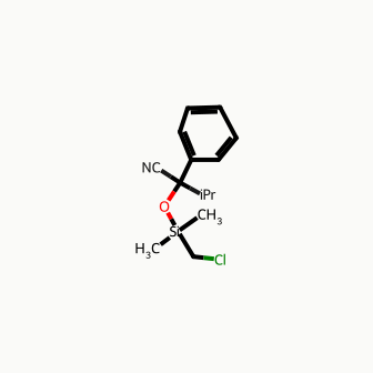 CC(C)C(C#N)(O[Si](C)(C)CCl)c1ccccc1